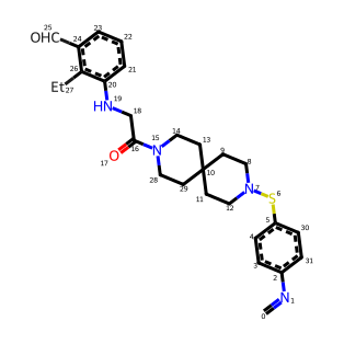 C=Nc1ccc(SN2CCC3(CC2)CCN(C(=O)CNc2cccc(C=O)c2CC)CC3)cc1